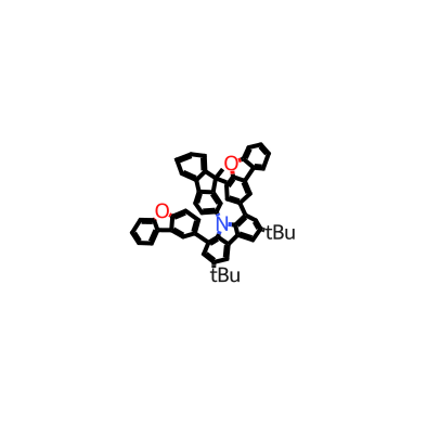 CC(C)(C)c1cc(-c2ccc3oc4ccccc4c3c2)c2c(c1)c1cc(C(C)(C)C)cc(-c3ccc4oc5ccccc5c4c3)c1n2-c1ccc2c(c1)C(C)(C)c1ccccc1-2